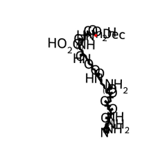 CCCCCCCCCCCC(=O)N[C@@H](CCC(=O)N[C@@H](CCC(=O)CNCOCCOCC(=O)NCCCC[C@H](CC(=O)C(C)(C)CC(=O)C(C)(C)CC(=O)C(C)(C)NC(=O)[C@@H](N)Cc1cnc[nH]1)C(N)=O)C(=O)O)C(=O)O